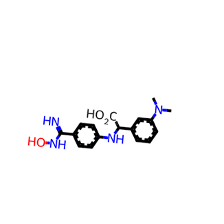 CN(C)c1cccc(C(Nc2ccc(C(=N)NO)cc2)C(=O)O)c1